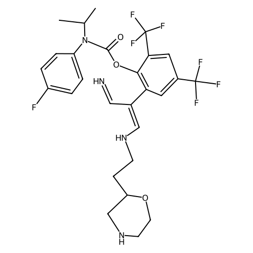 CC(C)N(C(=O)Oc1c(/C(C=N)=C/NCCC2CNCCO2)cc(C(F)(F)F)cc1C(F)(F)F)c1ccc(F)cc1